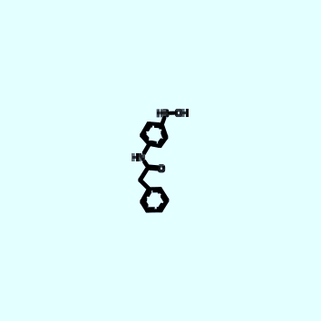 O=C(Cc1ccccc1)Nc1ccc(BO)cc1